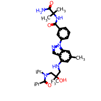 Cc1cc(NCC(O)(CN(C(=O)C(C)C)C(C)C)C(F)(F)F)c2cnn(-c3cccc(C(=O)NC(C)(C)C(N)=O)c3)c2c1